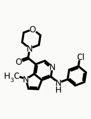 Cn1ccc2c(Nc3cccc(Cl)c3)ncc(C(=O)N3CCOCC3)c21